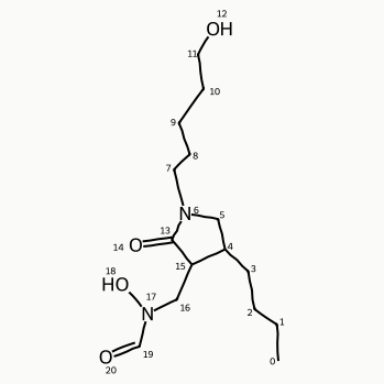 CCCCC1CN(CCCCCO)C(=O)C1CN(O)C=O